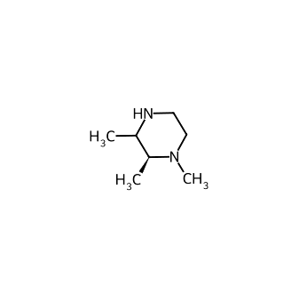 CC1NCCN(C)[C@H]1C